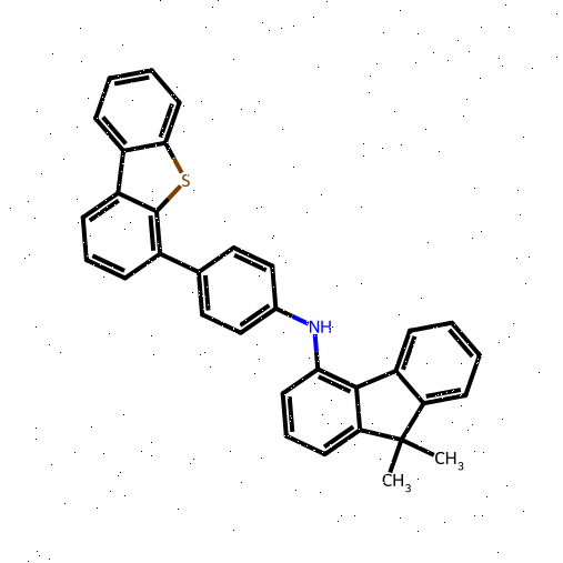 CC1(C)c2ccccc2-c2c(Nc3ccc(-c4cccc5c4sc4ccccc45)cc3)cccc21